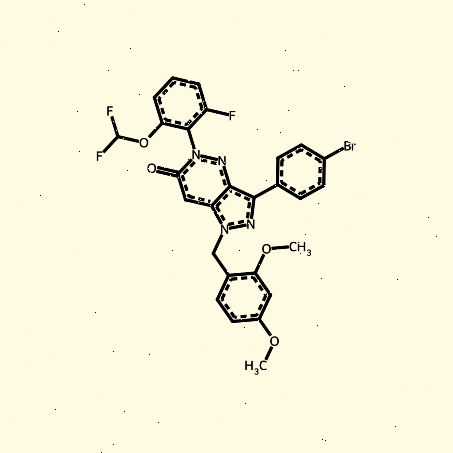 COc1ccc(Cn2nc(-c3ccc(Br)cc3)c3nn(-c4c(F)cccc4OC(F)F)c(=O)cc32)c(OC)c1